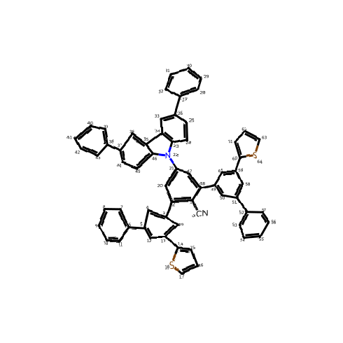 N#Cc1c(-c2cc(-c3ccccc3)cc(-c3cccs3)c2)cc(-n2c3ccc(-c4ccccc4)cc3c3cc(-c4ccccc4)ccc32)cc1-c1cc(-c2ccccc2)cc(-c2cccs2)c1